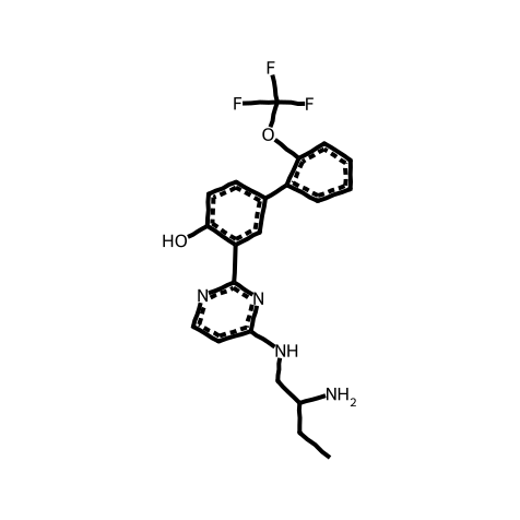 CCC(N)CNc1ccnc(-c2cc(-c3ccccc3OC(F)(F)F)ccc2O)n1